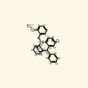 CCOc1ccccc1CNC1C2CCN(CC2)C1C(c1ccccc1)c1ccccc1.O